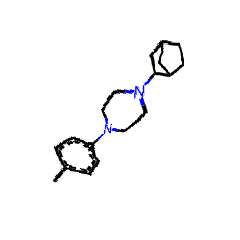 Cc1ccc(N2CCN(C3CC4CCC3C4)CC2)cc1